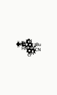 CC(C)(C)CNc1c(C#N)cnc2c(Cl)cc(N[C@H](c3cn(C45CC(C4)C5)nn3)c3cccc4ncccc34)cc12